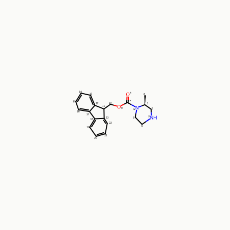 C[C@H]1CNCCN1C(=O)OCC1c2ccccc2-c2ccccc21